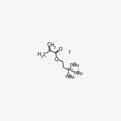 C=C(C)C(=O)OCC[P+](CCCC)(CCCC)CCCC.[I-]